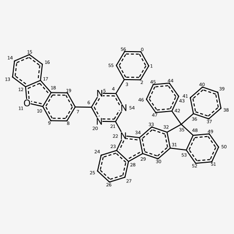 c1ccc(-c2nc(-c3ccc4oc5ccccc5c4c3)nc(-n3c4ccccc4c4cc5c(cc43)C(c3ccccc3)(c3ccccc3)c3ccccc3-5)n2)cc1